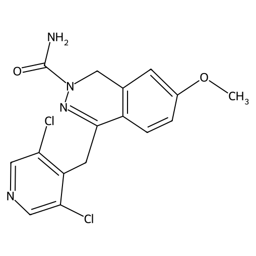 COc1ccc2c(c1)CN(C(N)=O)N=C2Cc1c(Cl)cncc1Cl